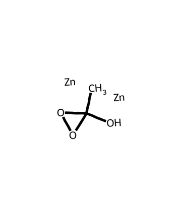 CC1(O)OO1.[Zn].[Zn]